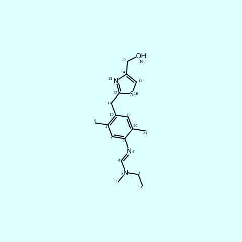 CCN(C)/C=N/c1cc(C)c(Cc2nc(CO)cs2)cc1C